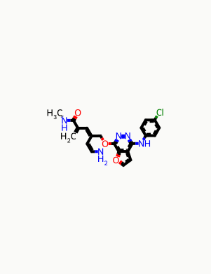 C=C(/C=C(\C=C/N)COc1nnc(Nc2ccc(Cl)cc2)c2ccoc12)C(=O)NC